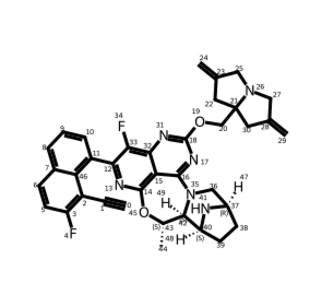 C#Cc1c(F)ccc2cccc(-c3nc4c5c(nc(OCC67CC(=C)CN6CC(=C)C7)nc5c3F)N3C[C@H]5CC[C@H](N5)[C@H]3[C@H](C)O4)c12